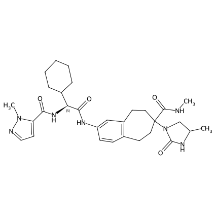 CNC(=O)C1(N2CC(C)NC2=O)CCc2ccc(NC(=O)[C@@H](NC(=O)c3ccnn3C)C3CCCCC3)cc2CC1